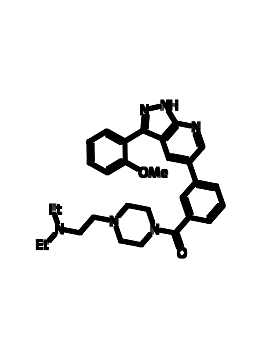 CCN(CC)CCN1CCN(C(=O)c2cccc(-c3cnc4[nH]nc(-c5ccccc5OC)c4c3)c2)CC1